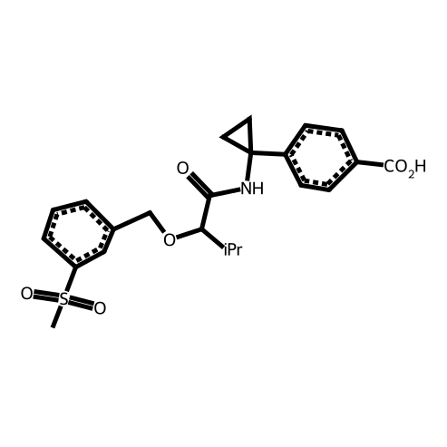 CC(C)C(OCc1cccc(S(C)(=O)=O)c1)C(=O)NC1(c2ccc(C(=O)O)cc2)CC1